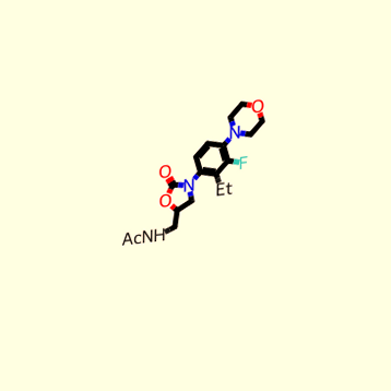 CCc1c(N2CC(CNC(C)=O)OC2=O)ccc(N2CCOCC2)c1F